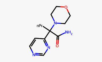 CCCC(C(N)=O)(c1ccncn1)N1CCOCC1